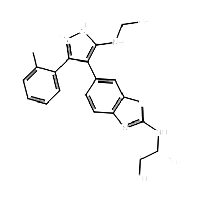 CCNc1[nH]nc(-c2ccccc2F)c1-c1ccc2nc(N[C@H](C)CC)sc2c1